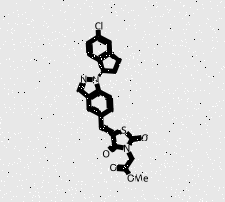 COC(=O)CN1C(=O)S/C(=C\c2ccc3c(cnn3[C@@H]3CCc4cc(Cl)ccc43)c2)C1=O